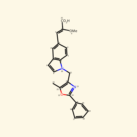 CO/C(=C\c1ccc2c(ccn2Cc2nc(-c3ccccc3)oc2C)c1)C(=O)O